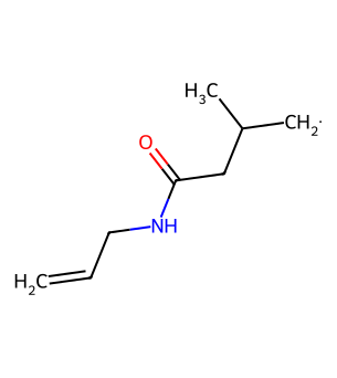 [CH2]C(C)CC(=O)NCC=C